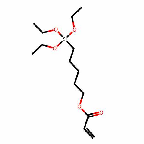 C=CC(=O)OCCCCC[Si](OCC)(OCC)OCC